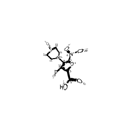 O=C(O)c1oc([N+](=O)[O-])c(N2CCSCC2)c1F